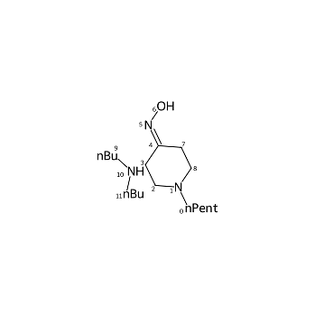 CCCCCN1CCC(=NO)CC1.CCCCNCCCC